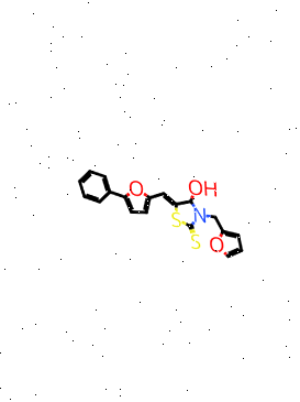 OC1/C(=C/c2ccc(-c3ccccc3)o2)SC(=S)N1Cc1ccco1